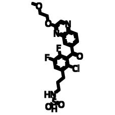 COCCOc1cnc2ccc(C(=O)c3c(F)c(F)cc(CCCN[SH](=O)=O)c3Cl)cc2n1